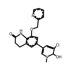 CN1C=C(c2cc3c(c(OCc4ccccn4)c2)NC(=O)CC3)C=C(Cl)C1O